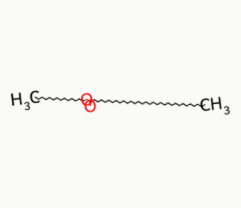 CCCCCCCCCCCCCCCCCCCCCCCCCCCCCCCC(=O)OCCCCCCCCCCCCCC